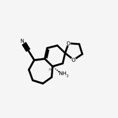 N#CC1CCCC[C@]2(N)CC3(CC=C12)OCCO3